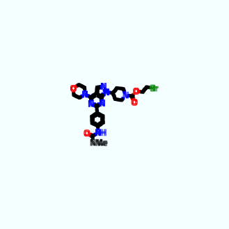 CNC(=O)Nc1ccc(-c2nc(N3CCOCC3)c3cnn(C4CCN(C(=O)OCCBr)CC4)c3n2)cc1